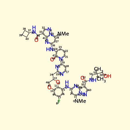 CNc1cc(Nc2cc(F)cc3c2OC(Cc2nccc(-n4cccc(Nc5cc(NC)n6ncc(C(=O)NC7CCC7)c6n5)c4=O)n2)CO3)nc2c(C(=O)NCC(C)(C)CO)cnn12